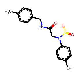 Cc1ccc(CNC(=O)CN(c2ccc(C)cc2)[SH](=O)=O)cc1